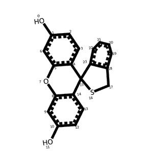 Oc1ccc2c(c1)Oc1cc(O)ccc1C21SCc2ccccc21